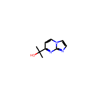 CC(C)(O)c1ccn2ccnc2n1